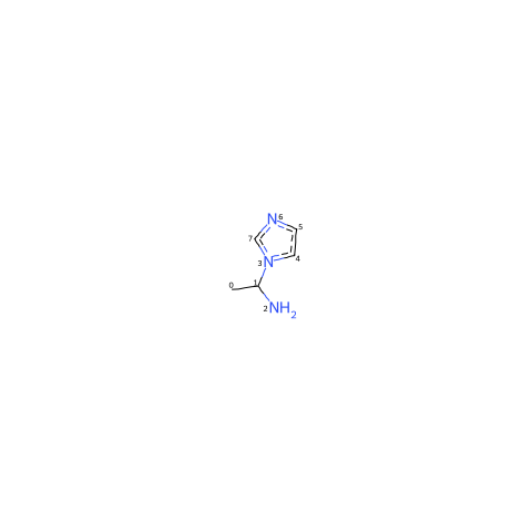 CC(N)n1ccnc1